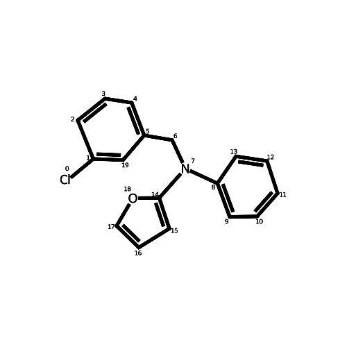 Clc1cccc(CN(c2ccccc2)c2ccco2)c1